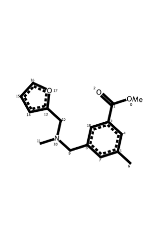 COC(=O)c1cc(C)cc(CN(C)Cc2ccco2)c1